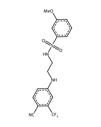 COc1cccc(S(=O)(=O)NCCNc2ccc(C#N)c(C(F)(F)F)c2)c1